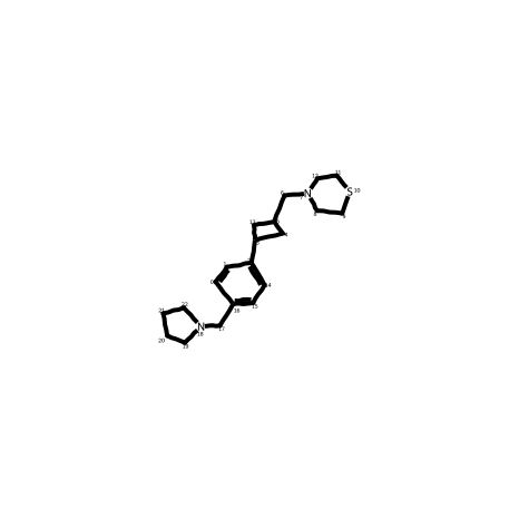 c1cc(C2CC(CN3CCSCC3)C2)ccc1CN1CCCC1